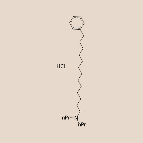 CCCN(CCC)CCCCCCCCCCCCCc1ccccc1.Cl